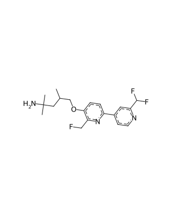 CC(COc1ccc(-c2ccnc(C(F)F)c2)nc1CF)CC(C)(C)N